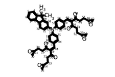 CC1(C)c2ccccc2-c2ccc(N(c3ccc(C=C(C(=O)CCC4CO4)C(=O)CCC4CO4)cc3)c3ccc(C=C(C(=O)CCC4CO4)C(=O)CCC4CO4)cc3)cc21